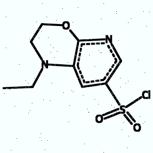 CCN1CCOc2ncc(S(=O)(=O)Cl)cc21